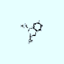 NOc1ccccc1C=NO